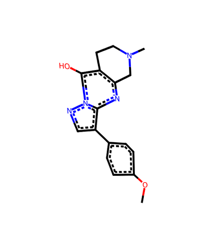 COc1ccc(-c2cnn3c(O)c4c(nc23)CN(C)CC4)cc1